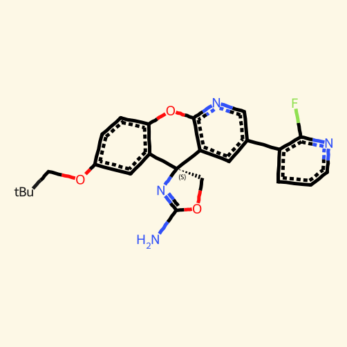 CC(C)(C)COc1ccc2c(c1)[C@@]1(COC(N)=N1)c1cc(-c3cccnc3F)cnc1O2